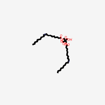 CCCCCCCC/C=C\CCCCCCCC(=O)OCC(COC(=O)CCCCCCC/C=C\CCCCCCCC)(C(=O)O)C(=O)O